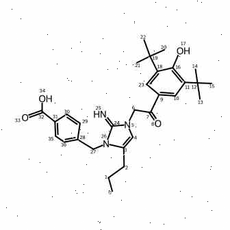 CCCc1cn(CC(=O)c2cc(C(C)(C)C)c(O)c(C(C)(C)C)c2)c(=N)n1Cc1ccc(C(=O)O)cc1